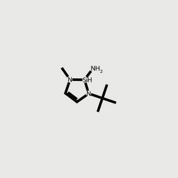 CN1C=CN(C(C)(C)C)[SiH]1N